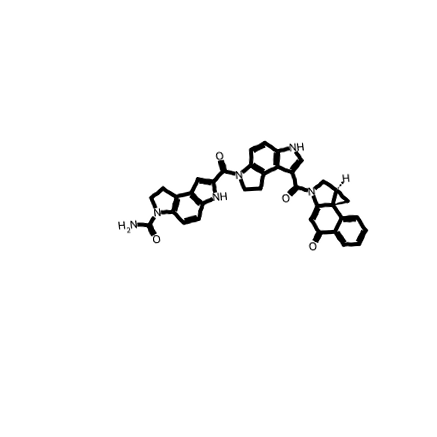 NC(=O)N1CCc2c1ccc1[nH]c(C(=O)N3CCc4c3ccc3[nH]cc(C(=O)N5C[C@H]6C[C@@]67C5=CC(=O)c5ccccc57)c43)cc21